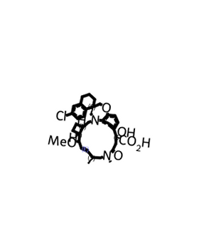 COC1/C=C/[C@H](C)CN(C)C(=O)C[C@@](O)(C(=O)O)c2ccc3c(c2)N(C[C@@H]2CC[C@@H]12)C[C@@]1(CCCc2cc(Cl)ccc21)CO3